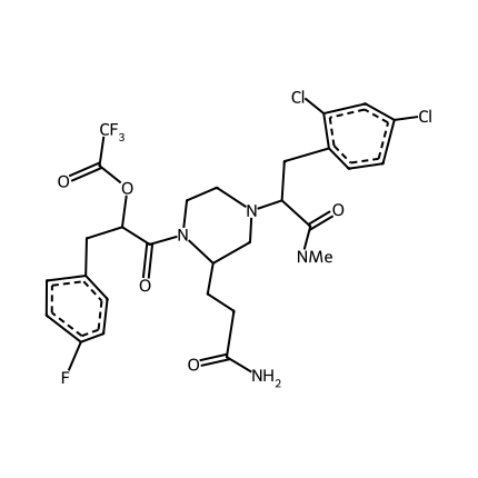 CNC(=O)C(Cc1ccc(Cl)cc1Cl)N1CCN(C(=O)C(Cc2ccc(F)cc2)OC(=O)C(F)(F)F)C(CCC(N)=O)C1